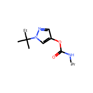 CCC(C)(C)n1cc(OC(=O)NC(C)C)cn1